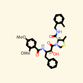 COc1ccc(C(=O)NC(Cc2ccccc2)[C@H](O)C(=O)N2CSC(C)[C@H]2C(=O)NCc2ccccc2C)c(OC)c1